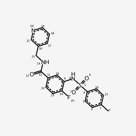 Cc1ccc(S(=O)(=O)Nc2cc(C(=O)NCc3cccnc3)ccc2F)cc1